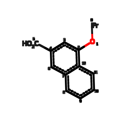 CC(C)Oc1cc(C(=O)O)cc2ccccc12